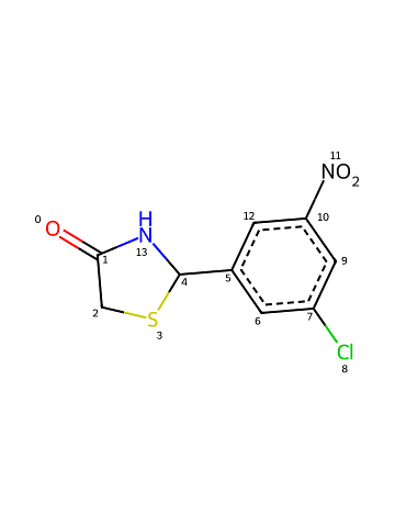 O=C1CSC(c2cc(Cl)cc([N+](=O)[O-])c2)N1